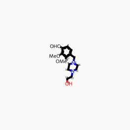 COc1c(C=O)ccc(CN2CCN(CCO)CC2)c1OC